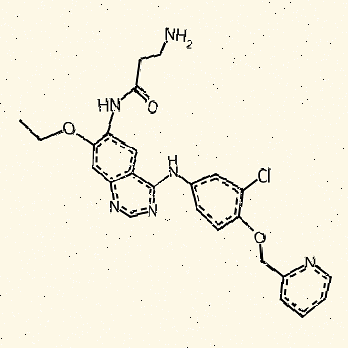 CCOc1cc2ncnc(Nc3ccc(OCc4ccccn4)c(Cl)c3)c2cc1NC(=O)CCN